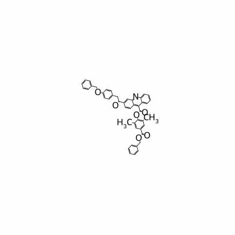 Cc1cc(C(=O)OCc2ccccc2)cc(C)c1OC(=O)c1c2ccccc2nc2cc(C(=O)Cc3ccc(OCc4ccccc4)cc3)ccc12